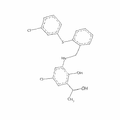 CC(O)c1cc(Cl)cc(NCc2ccccc2Sc2cccc(Cl)c2)c1O